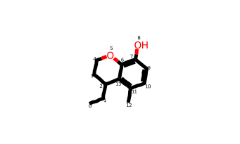 CCC1CCOc2c(O)ccc(C)c21